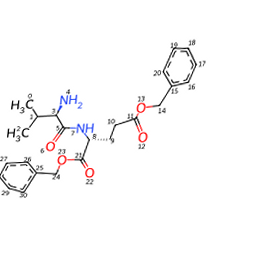 CC(C)[C@@H](N)C(=O)N[C@H](CCC(=O)OCc1ccccc1)C(=O)OCc1ccccc1